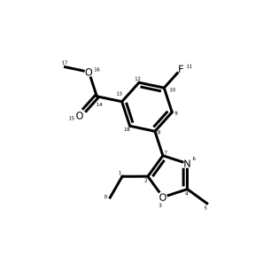 CCc1oc(C)nc1-c1cc(F)cc(C(=O)OC)c1